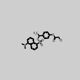 CN(C)c1cccc2c(S(=O)(=O)OC(c3ccc(OC(=O)CCl)cc3)C(F)(F)F)cccc12